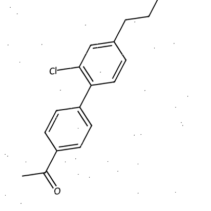 CCCCc1ccc(-c2ccc(C(C)=O)cc2)c(Cl)c1